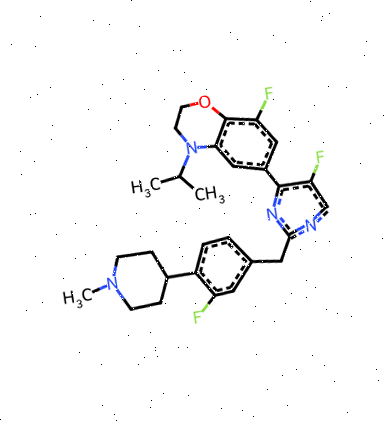 CC(C)N1CCOc2c(F)cc(-c3nc(Cc4ccc(C5CCN(C)CC5)c(F)c4)ncc3F)cc21